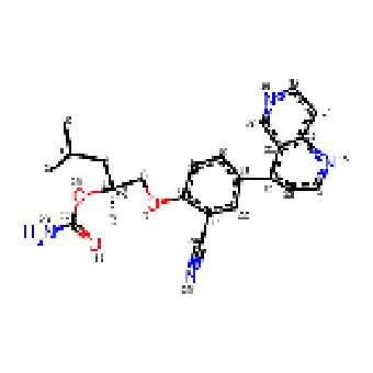 CC(C)C[C@@](C)(COc1ccc(-c2ccnc3ccncc23)cc1C#N)OC(N)=O